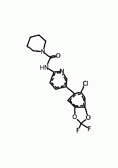 O=C(Nc1ccc(-c2cc3c(cc2Cl)OC(F)(F)O3)cn1)N1CCCCC1